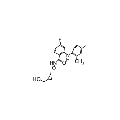 Cc1cc(I)ccc1Nc1cc(F)ccc1C(=O)NOCC1CC1CO